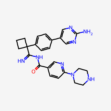 N=C(NC(=O)c1ccc(N2CCNCC2)nc1)C1(c2ccc(-c3cnc(N)nc3)cc2)CCC1